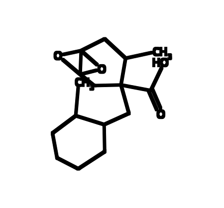 CC1CCCCC1CC1(C(=O)O)CC23OC2(CC1C)O3